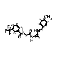 Cc1ccc(CNC2CC2NC(=O)CNC(=O)c2cccc(C(F)(F)F)c2)cc1